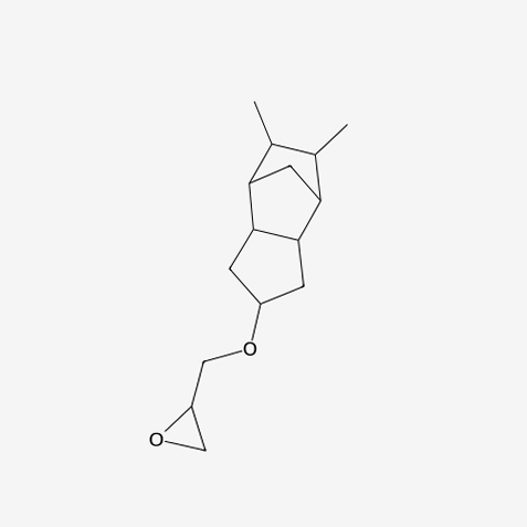 CC1C(C)C2CC1C1CC(OCC3CO3)CC21